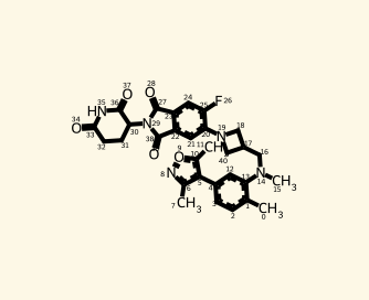 Cc1ccc(-c2c(C)noc2C)cc1N(C)CC1CN(c2cc3c(cc2F)C(=O)N(C2CCC(=O)NC2=O)C3=O)C1